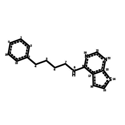 c1ccc(CCCCNc2ncnc3sccc23)cc1